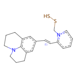 SSC[n+]1ccccc1/C=C/c1cc2c3c(c1)CCCN3CCC2